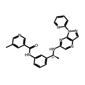 Cc1cncc(C(=O)Nc2cccc([C@H](C)Nc3cnc4cnn(-c5ccccn5)c4n3)c2)c1